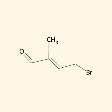 C/C(C=O)=C\CBr